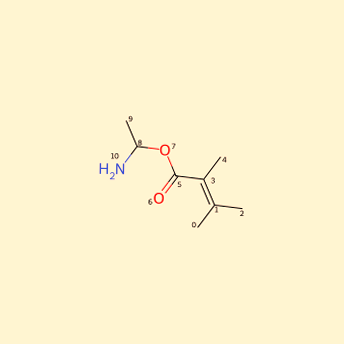 CC(C)=C(C)C(=O)OC(C)N